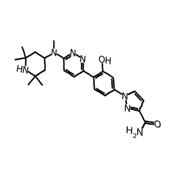 CN(c1ccc(-c2ccc(-n3ccc(C(N)=O)n3)cc2O)nn1)C1CC(C)(C)NC(C)(C)C1